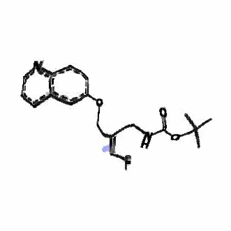 CC(C)(C)OC(=O)NC/C(=C\F)COc1ccc2ncccc2c1